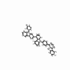 c1ccc(-n2c3ccccc3c3ccc(-c4cccc5c4c4ccccc4n5-c4ccc(-c5ncnc6c5oc5ccccc56)cc4)cc32)cc1